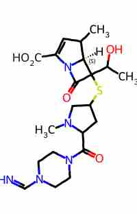 CC1C=C(C(=O)O)N2C(=O)C(SC3CC(C(=O)N4CCN(C=N)CC4)N(C)C3)(C(C)O)[C@H]12